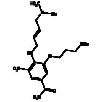 COCCCOc1cc(C(N)=O)cc([N+](=O)[O-])c1NCC=CCN(C(=O)O)C(C)(C)C